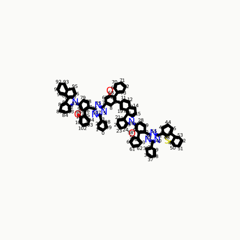 c1ccc(-c2nc(-c3cc(-c4ccc5ccc6c(c5c4)c4ccccc4n6-c4ccc(-c5nc(-c6ccccc6)nc(-c6cccc7c6sc6ccccc67)n5)c5c4oc4ccccc45)c4c(c3)oc3ccccc34)nc(-c3ccc(-n4c5ccccc5c5c6ccccc6ccc54)c4oc5ccccc5c34)n2)cc1